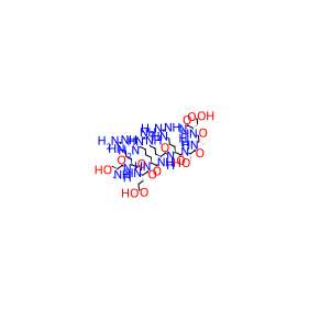 CNC(=O)[C@H](CC(=O)O)NC(=O)[C@H](C)NC(=O)[C@H](CO)NC(=O)[C@H](CCCNC(=N)N)NC(=O)[C@H](CCCNC(=N)N)NC(=O)[C@H](CCCCN)NC(=O)[C@H](CCC(=O)O)NC(=O)[C@H](CCCNC(=N)N)NC(=O)[C@H](CO)NC